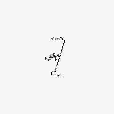 CCCCC/C=C\C/C=C\CCCCCCCCC(CCCCCCCC/C=C\C/C=C\CCCCC)=NNC(=O)CN(C)C